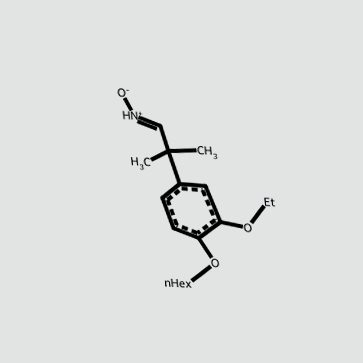 CCCCCCOc1ccc(C(C)(C)C=[NH+][O-])cc1OCC